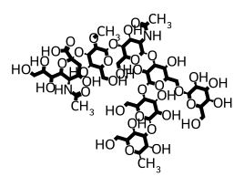 COC1[C@H](O[C@@H]2C(CO)O[C@@H](O[C@@H]3C(O)[C@H](O[C@@H]4C(CO)O[C@@H](OC5[C@H](O)C(CO)O[C@@H](C)[C@H]5O)C(O)[C@H]4O)OC(CO[C@@H]4OC(CO)[C@H](O)C(O)[C@@H]4O)[C@@H]3O)C(NC(C)=O)[C@H]2O)OC(CO)[C@H](O)[C@@H]1O[C@]1(C(=O)O)CC(O)[C@@H](NC(C)=O)C(C(O)C(O)CO)O1